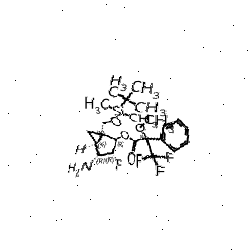 CO[C@@](C(=O)O[C@H]1[C@H](F)[C@H](N)[C@H]2C[C@]21CO[Si](C)(C)C(C)(C)C)(c1ccccc1)C(F)(F)F